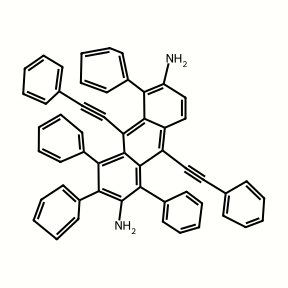 Nc1ccc2c(C#Cc3ccccc3)c3c(-c4ccccc4)c(N)c(-c4ccccc4)c(-c4ccccc4)c3c(C#Cc3ccccc3)c2c1-c1ccccc1